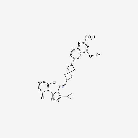 CC(C)Oc1cc(C(=O)O)nc2ccc(N3CC4(CC(/C=C/c5c(-c6c(Cl)cncc6Cl)noc5C5CC5)C4)C3)cc12